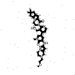 COCCN1CCn2nc(Nc3cc(-c4ccnc(N5CCn6c(cc7c6CC(C)(C)C7)C5=O)c4CO)cn(C)c3=O)cc2C1